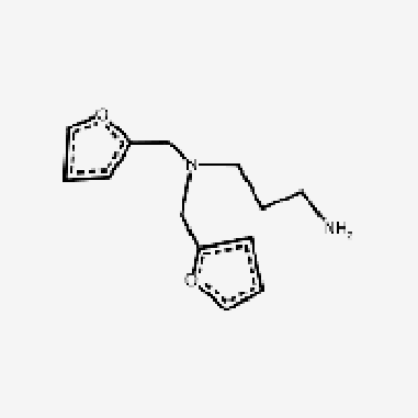 NCCCN(Cc1ccco1)Cc1ccco1